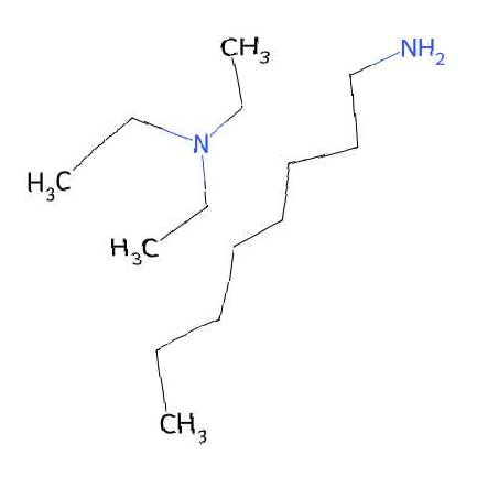 CCCCCCCCN.CCN(CC)CC